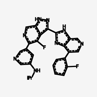 CC(C)Nc1cncc(-c2ncc3[nH]nc(-c4nc5c(-c6ccccc6F)cncc5[nH]4)c3c2F)c1